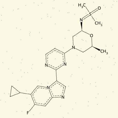 C[C@H]1CN(c2ccnc(-c3cnc4cc(F)c(C5CC5)cn34)n2)C[C@@H](N=S(C)(C)=O)O1